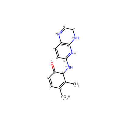 CC1=C(C(=O)O)C=CC(=O)C1Nc1ccc2c(n1)NCC=N2